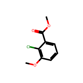 COC(=O)c1cccc(OC)c1Cl